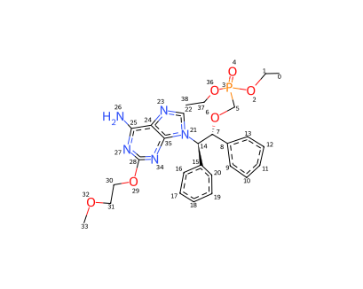 CCOP(=O)(CO[C@H](c1ccccc1)[C@@H](c1ccccc1)n1cnc2c(N)nc(OCCOC)nc21)OCC